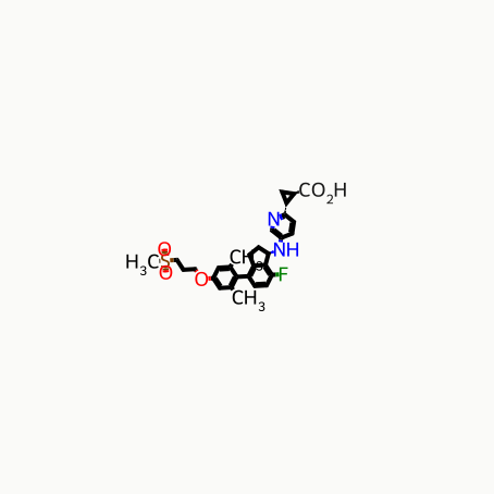 Cc1cc(OCCCS(C)(=O)=O)cc(C)c1-c1ccc(F)c2c1CC[C@H]2Nc1ccc([C@@H]2C[C@H]2C(=O)O)nc1